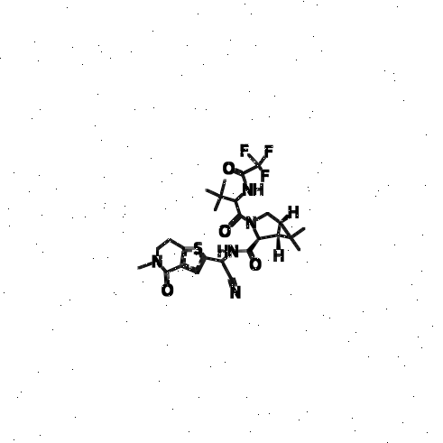 CN1CCc2sc(C(C#N)NC(=O)[C@@H]3[C@@H]4[C@H](CN3C(=O)C(NC(=O)C(F)(F)F)C(C)(C)C)C4(C)C)cc2C1=O